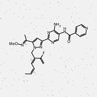 C=C(F)/C(=C\C=C/C)Cn1nc(-c2ncc(NC(=O)c3ccncc3)c(N)n2)cc1/C(C)=N/OC